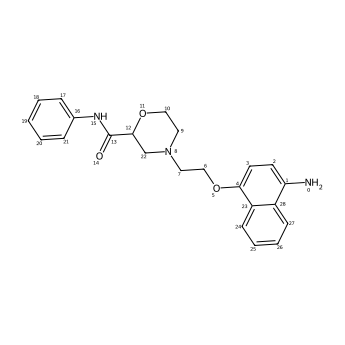 Nc1ccc(OCCN2CCOC(C(=O)Nc3ccccc3)C2)c2ccccc12